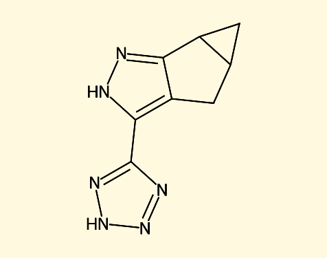 C1c2c(n[nH]c2-c2nn[nH]n2)C2CC12